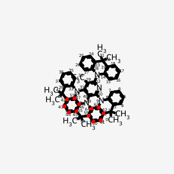 CC1(C)c2ccccc2N(c2nc(N3c4ccccc4C(C)(C)c4ccccc43)c(C(F)(F)F)c(N3c4ccccc4C(C)(C)c4ccccc43)c2N2c3ccccc3C(C)(C)c3ccccc32)c2ccccc21